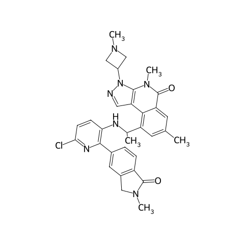 Cc1cc(C(C)Nc2ccc(Cl)nc2-c2ccc3c(c2)CN(C)C3=O)c2c(c1)c(=O)n(C)c1c2cnn1C1CN(C)C1